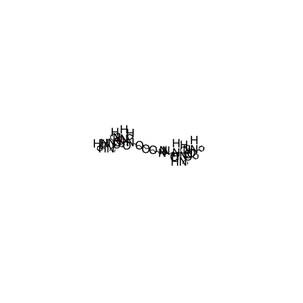 CC[C@H](NC)C(=O)N[C@@H]1C(=O)N2[C@@H](CC[C@@H]1CNC(=O)CCc1cn(CCCOCCOCCOCCCNC(=O)C(NC(=O)[C@@H]3CC[C@@H]4CC[C@H](CCNCc5ccccc5)[C@H](NC(=O)[C@H](CC)NC)C(=O)N43)(c3ccccc3)c3ccccc3)nn1)CC[C@H]2C(=O)NC(c1ccccc1)c1ccccc1